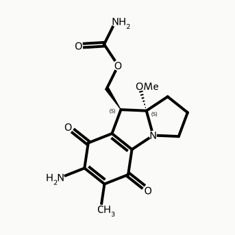 CO[C@]12CCCN1C1=C(C(=O)C(N)=C(C)C1=O)[C@H]2COC(N)=O